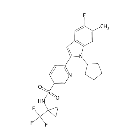 Cc1cc2c(cc1F)cc(-c1ccc(S(=O)(=O)NC3(C(F)(F)F)CC3)cn1)n2C1CCCC1